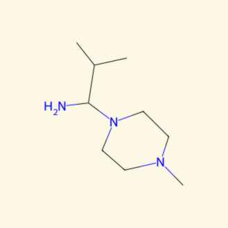 CC(C)C(N)N1CCN(C)CC1